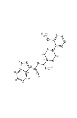 COc1ccccc1N1CCN(CCC(=O)c2csc3ccccc23)CC1.Cl